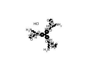 Cl.NCCCC[C@@H](NC(=O)CN1C(=O)CSC1=S)C(=O)Nc1ccc(C(c2ccc(NC(=O)[C@@H](CCCCN)NC(=O)CN3C(=O)CSC3=S)cc2)c2ccc(NC(=O)[C@@H](CCCCN)NC(=O)CN3C(=O)CSC3=S)cc2)cc1